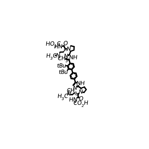 CN(C)CC[C@@H](C(=O)NC(=O)O)N1CCCC1c1ncc(-c2ccc(-c3ccc(-c4cnc(C5CCCN5[C@@H](CCN(C)C)C(=O)NC(=O)O)[nH]4)c(C(C)(C)C)c3C(C)(C)C)cc2)[nH]1